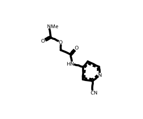 CNC(=O)OCC(=O)Nc1ccnc(C#N)c1